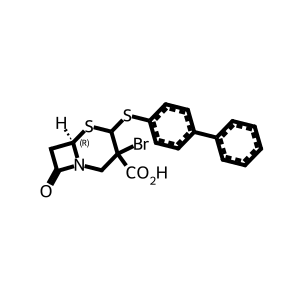 O=C1C[C@H]2SC(Sc3ccc(-c4ccccc4)cc3)C(Br)(C(=O)O)CN12